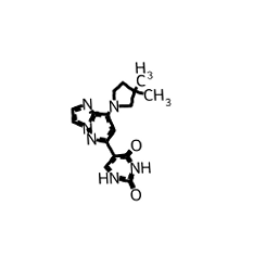 CC1(C)CCN(c2cc(-c3c[nH]c(=O)[nH]c3=O)nn3ccnc23)C1